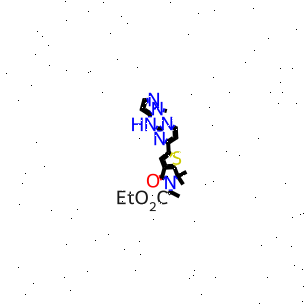 CCOC(=O)C(C)N1C(=O)c2cc(-c3ccnc(Nc4ccnn4C)n3)sc2C1(C)C